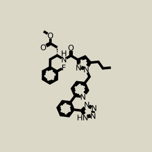 CCCc1cc(C(=O)N[C@@H](CC(=O)OC)Cc2ccccc2F)nn1Cc1ccc(-c2ccccc2-c2nnn[nH]2)nc1